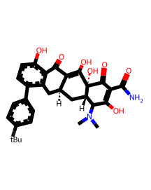 CN(C)C1C(O)=C(C(N)=O)C(=O)[C@]2(O)C(O)=C3C(=O)c4c(O)ccc(-c5ccc(C(C)(C)C)cc5)c4C[C@@H]3C[C@@H]12